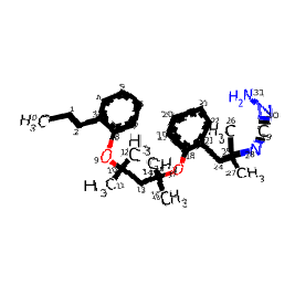 CCCc1ccccc1OC(C)(C)CC(C)(C)Oc1ccccc1CC(C)(C)N=C=NN